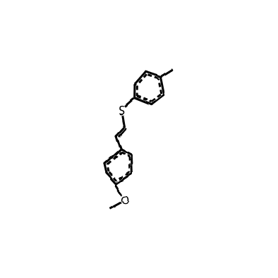 COc1ccc(/C=C/Sc2ccc(C)cc2)cc1